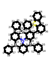 c1ccc(B2c3cccc4c3N3c5c2cccc5[Si](c2ccccc2)(c2ccccc2)c2cc(-c5cccc6c5sc5ccccc56)cc(c23)B4c2ccccc2)cc1